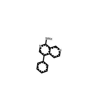 CNc1ncc(-c2ccccc2)c2ccncc12